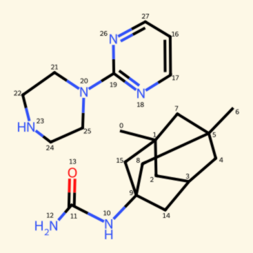 CC12CC3CC(C)(C1)CC(NC(N)=O)(C3)C2.c1cnc(N2CCNCC2)nc1